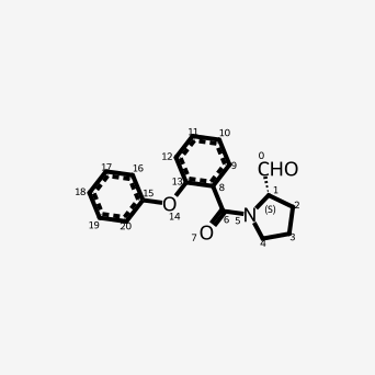 O=C[C@@H]1CCCN1C(=O)c1ccccc1Oc1ccccc1